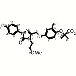 COCCn1c(COc2ccc(OC(C)(C)C(=O)O)c(C)c2)nn(-c2ccc(C(F)(F)F)cc2)c1=O